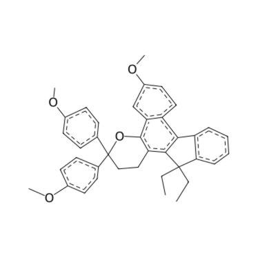 CCC1(CC)c2ccccc2-c2c1c1c(c3cc(OC)ccc23)OC(c2ccc(OC)cc2)(c2ccc(OC)cc2)CC1